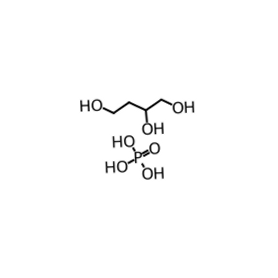 O=P(O)(O)O.OCCC(O)CO